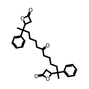 CC(CCCCC(=O)CCCCC(C)(c1ccccc1)C1CC(=O)O1)(c1ccccc1)C1CC(=O)O1